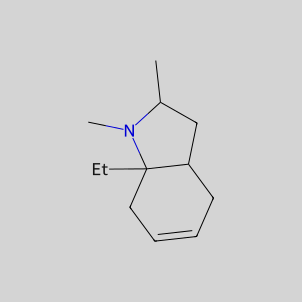 CCC12CC=CCC1CC(C)N2C